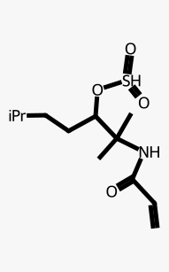 C=CC(=O)NC(C)(C)C(CCC(C)C)O[SH](=O)=O